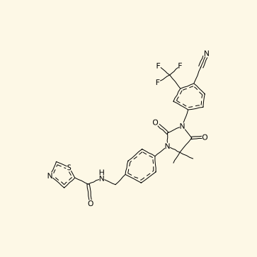 CC1(C)C(=O)N(c2ccc(C#N)c(C(F)(F)F)c2)C(=O)N1c1ccc(CNC(=O)c2cncs2)cc1